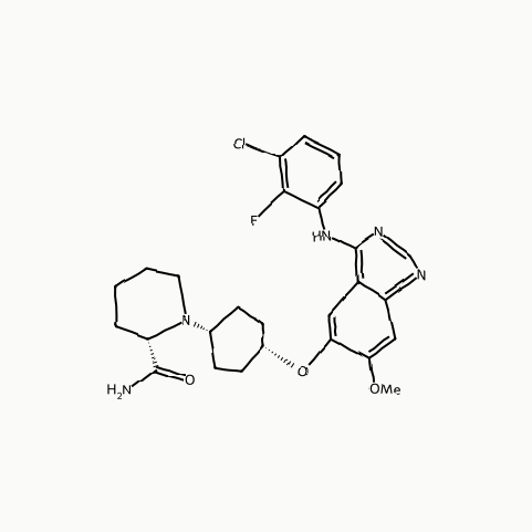 COc1cc2ncnc(Nc3cccc(Cl)c3F)c2cc1O[C@H]1CC[C@@H](N2CCCC[C@H]2C(N)=O)CC1